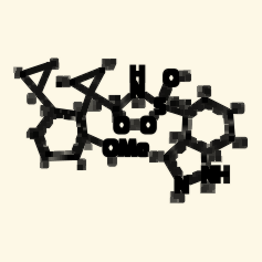 COc1cccc(C2CC2)c1C1(C(=O)NS(=O)(=O)c2cccc3[nH]ncc23)CC1